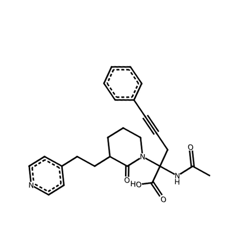 CC(=O)NC(CC#Cc1ccccc1)(C(=O)O)N1CCCC(CCc2ccncc2)C1=O